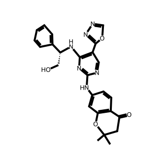 CC1(C)CC(=O)c2ccc(Nc3ncc(-c4nnco4)c(N[C@H](CO)c4ccccc4)n3)cc2O1